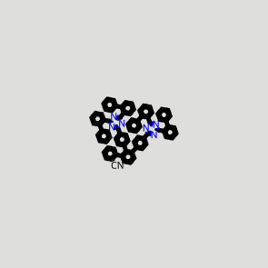 N#Cc1ccccc1-c1cccc(-c2ccc(-c3nc(-c4ccccc4-c4ccccc4)nc(-c4ccccc4-c4ccccc4)n3)cc2)c1-c1ccc(-c2nc(-c3ccccc3-c3ccccc3)nc(-c3ccccc3-c3ccccc3)n2)cc1